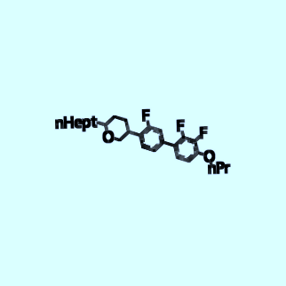 CCCCCCCC1CCC(c2ccc(-c3ccc(OCCC)c(F)c3F)cc2F)CO1